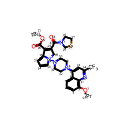 CC(C)Oc1cccc2c(N3CCN([N@@+]45C=CC=C4C(C(=O)OC(C)(C)C)=C(C(=O)N4CCSC4)C5)CC3)cc(C(F)(F)F)nc12